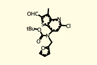 Cc1c(C=O)sc2c(N(Cc3ccco3)C(=O)OC(C)(C)C)cc(Cl)nc12